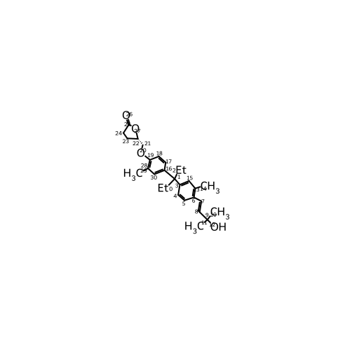 CCC(CC)(c1ccc(/C=C/C(C)(C)O)c(C)c1)c1ccc(OC[C@@H]2CCC(=O)O2)c(C)c1